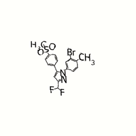 Cc1ccc(-n2nc(C(F)F)cc2-c2ccc(S(C)(=O)=O)cc2)cc1Br